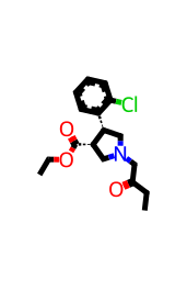 CCOC(=O)[C@H]1CN(CC(=O)CC)C[C@H]1c1ccccc1Cl